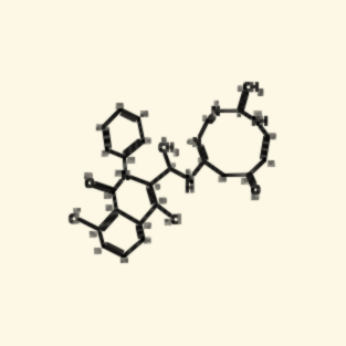 C=C1/N=C\N=C(\NC(C)c2c(Cl)c3cccc(Cl)c3c(=O)n2-c2ccccc2)CC(=O)/C=C\N1